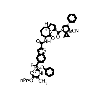 CCCOC(=O)[C@H](C)NP(=O)(Oc1ccccc1)[C@@H](F)c1ccc2sc(C(=O)N[C@H]3CCC[C@H]4CC[C@@H](C(=O)N5C[C@H](c6ccccc6)[C@@H](C#N)C56CC6)N4C3=O)cc2c1